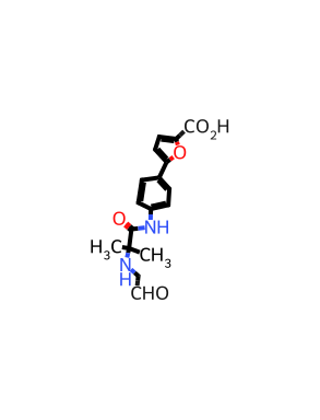 CC(C)(NCC=O)C(=O)Nc1ccc(-c2ccc(C(=O)O)o2)cc1